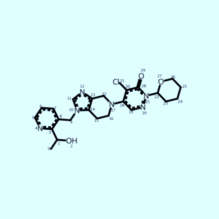 CC(O)c1ncccc1Cn1cnc2c1CCN(c1cnn(C3CCCCO3)c(=O)c1Cl)C2